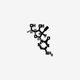 C#C[C@@]1(F)C(O)[C@@H]([C@H](C)O)O[C@H]1n1ncc(N)nc1=O